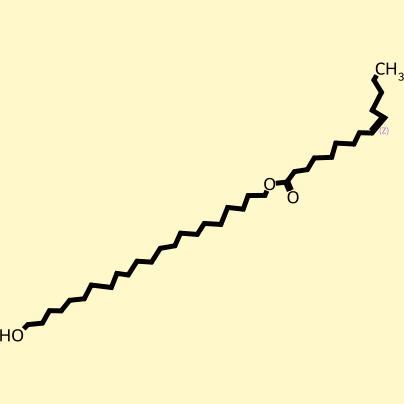 CCCC/C=C\CCCCCCCC(=O)OCCCCCCCCCCCCCCCCCCCCCCO